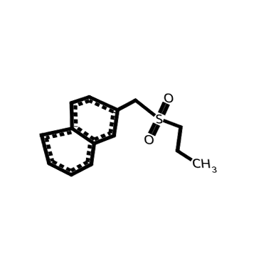 CCCS(=O)(=O)Cc1ccc2ccccc2c1